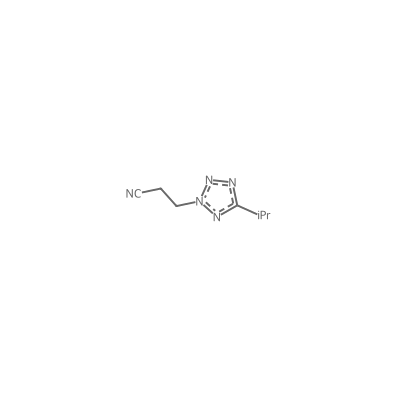 CC(C)c1nnn(CCC#N)n1